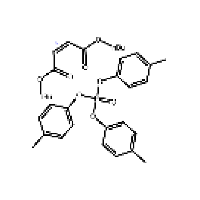 CCCCOC(=O)/C=C\C(=O)OCCCC.Cc1ccc(OP(=O)(Oc2ccc(C)cc2)Oc2ccc(C)cc2)cc1